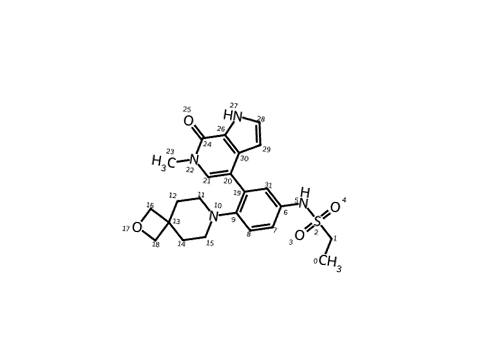 CCS(=O)(=O)Nc1ccc(N2CCC3(CC2)COC3)c(-c2cn(C)c(=O)c3[nH]ccc23)c1